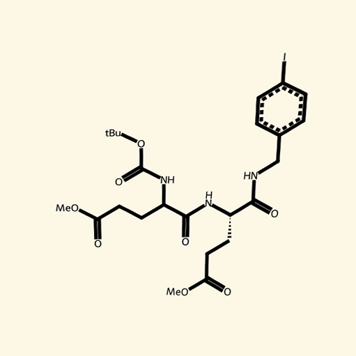 COC(=O)CCC(NC(=O)OC(C)(C)C)C(=O)N[C@@H](CCC(=O)OC)C(=O)NCc1ccc(I)cc1